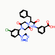 O=C(O)c1cccc(NC(=O)C(Cc2ccccc2)N2CC(=O)N(c3cc(Cl)ccc3-n3cnnn3)CC2=O)c1